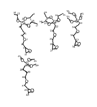 CCO[Si](CCCOCC1CO1)(OCC)OCC.CCO[Si](CCOCC1CO1)(OCC)OCC.CO[Si](CCCOCC1CO1)(OC)OC.CO[Si](CCOCC1CO1)(OC)OC